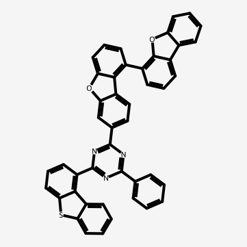 c1ccc(-c2nc(-c3ccc4c(c3)oc3cccc(-c5cccc6c5oc5ccccc56)c34)nc(-c3cccc4sc5ccccc5c34)n2)cc1